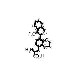 NC(Cc1ccc(-c2ncc3ccccc3c2C(F)(F)F)c2c1OCCO2)C(=O)O